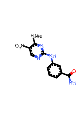 CNc1nc(Nc2cccc(C(N)=O)c2)ncc1[N+](=O)[O-]